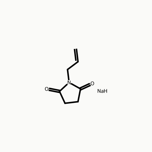 C=CCN1C(=O)CCC1=O.[NaH]